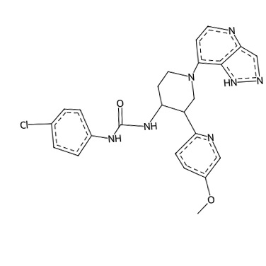 COc1ccc(C2CN(c3ccnc4cn[nH]c34)CCC2NC(=O)Nc2ccc(Cl)cc2)nc1